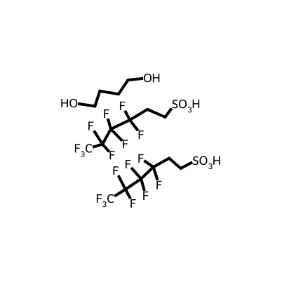 O=S(=O)(O)CCC(F)(F)C(F)(F)C(F)(F)C(F)(F)F.O=S(=O)(O)CCC(F)(F)C(F)(F)C(F)(F)C(F)(F)F.OCCCCO